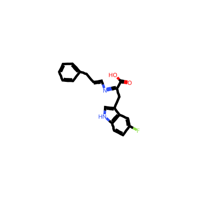 O=C(O)C(Cc1c[nH]c2ccc(F)cc12)=NC=CCc1ccccc1